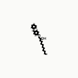 CCCCCCCCCCC(O)COc1ccc([I+]c2ccccc2)cc1